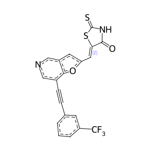 O=C1NC(=S)S/C1=C\c1cc2cncc(C#Cc3cccc(C(F)(F)F)c3)c2o1